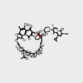 CO[C@H]1/C=C/O[C@@]2(C)Oc3c(C)c(O)c4c(c3C2=O)C(=O)C(N2CCC(NC3CCCN(c5c(F)cn6c(=O)c(C)cc(C7CC7)c6c5C)C3)C2)=C(NC(=O)/C(C)=C\C=C\[C@H](C)[C@H](O)[C@@H](C)[C@@H](O)[C@@H](C)[C@H](OC(C)=O)[C@@H]1C)C4=O